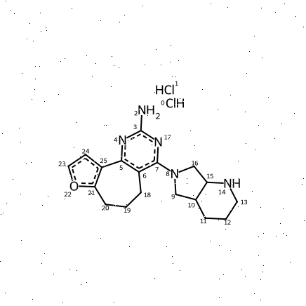 Cl.Cl.Nc1nc2c(c(N3CC4CCCNC4C3)n1)CCCc1occc1-2